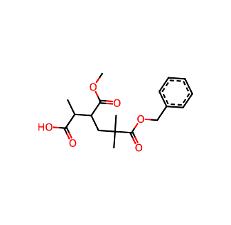 COC(=O)C(CC(C)(C)C(=O)OCc1ccccc1)C(C)C(=O)O